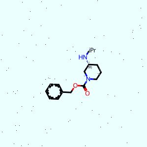 CC(C)N[C@@H]1CCCN(C(=O)OCc2ccccc2)C1